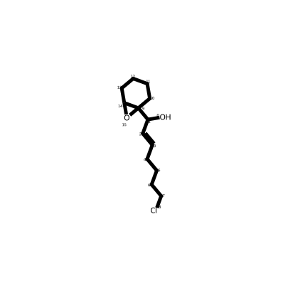 OC(C=CCCCCCl)C12CCCCC1O2